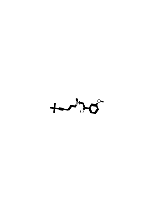 COc1cccc(C(=O)CN(C)CC=CC#CC(C)(C)C)c1